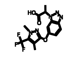 Cc1c(Oc2ccc3nnn(C(C)C(=O)O)c3c2)nn(C)c1C(F)(F)F